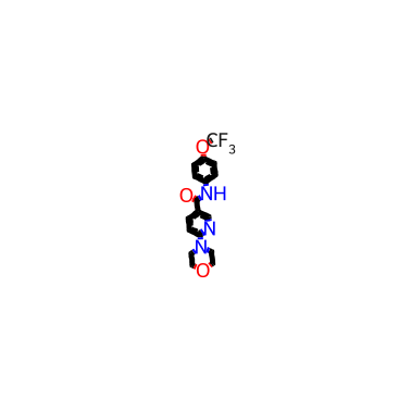 O=C(Nc1ccc(OC(F)(F)F)cc1)c1ccc(N2CCOCC2)nc1